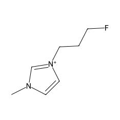 Cn1cc[n+](CCCF)c1